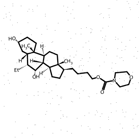 CC[C@H]1[C@@H](O)[C@@H]2[C@H](CC[C@]3(C)[C@@H](CCCCOC(=O)N4CCOCC4)CC[C@@H]23)[C@@]2(C)CC[C@@H](O)C[C@@H]12